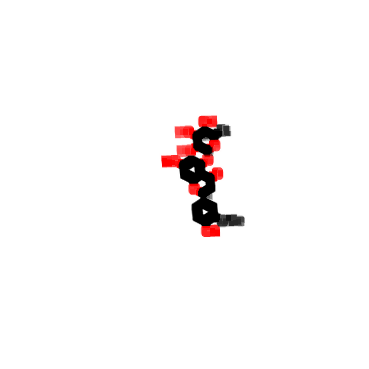 CCC1O[C@@H](Oc2cc(O)cc3c2C(=O)C[C@@H](c2ccc(O)c(OC)c2)O3)C(O)C(O)[C@H]1O